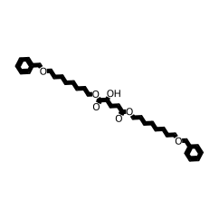 O=C(CCC(O)C(=O)OCCCCCCCCOCc1ccccc1)OCCCCCCCCOCc1ccccc1